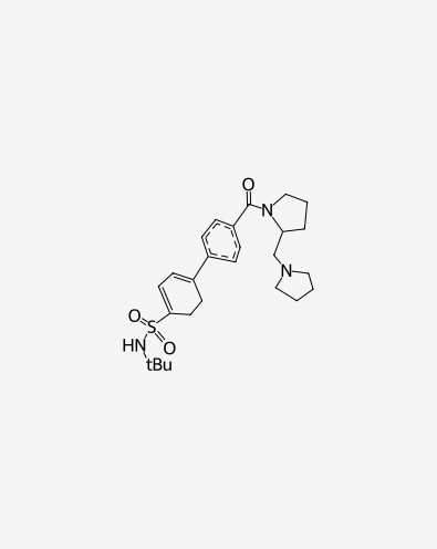 CC(C)(C)NS(=O)(=O)C1=CC=C(c2ccc(C(=O)N3CCCC3CN3CCCC3)cc2)CC1